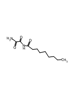 CCCCCCCCC(=O)NC(=O)C(N)=O